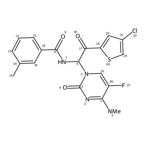 CNc1nc(=O)n(C(NC(=O)c2cccc(C)c2)C(=O)c2cc(Cl)cs2)cc1F